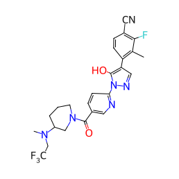 Cc1c(-c2cnn(-c3ccc(C(=O)N4CCCC(N(C)CC(F)(F)F)C4)cn3)c2O)ccc(C#N)c1F